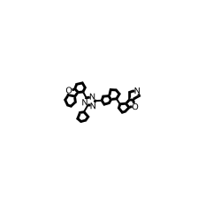 c1ccc(-c2nc(-c3ccc4c(-c5cccc6oc7cnccc7c56)cccc4c3)nc(-c3cccc4oc5ccccc5c34)n2)cc1